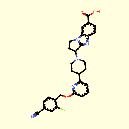 N#Cc1ccc(COc2cccc(C3CCN(C4CCn5c4nc4ccc(C(=O)O)cc45)CC3)n2)c(F)c1